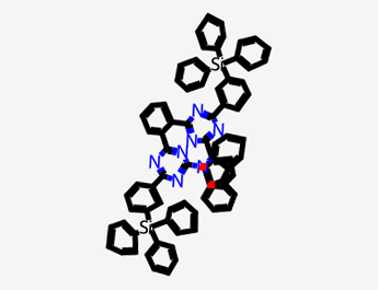 c1ccc(-c2nc(-c3cccc([Si](c4ccccc4)(c4ccccc4)c4ccccc4)c3)nc(-c3ccccc3-c3nc(-c4cccc([Si](c5ccccc5)(c5ccccc5)c5ccccc5)c4)nc(-n4c5ccccc5c5ccccc54)n3)n2)cc1